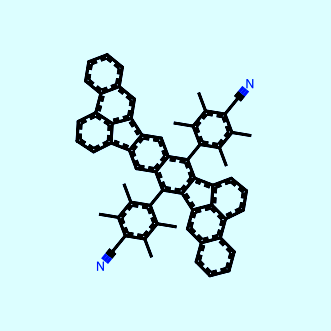 Cc1c(C)c(-c2c3cc4c(cc3c(-c3c(C)c(C)c(C#N)c(C)c3C)c3c5cc6ccccc6c6cccc(c23)c65)c2cccc3c5ccccc5cc4c32)c(C)c(C)c1C#N